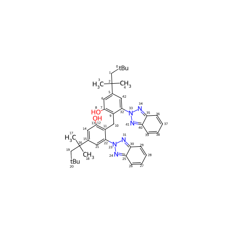 CC(C)(C)CC(C)(C)c1cc(O)c(Cc2c(O)cc(C(C)(C)CC(C)(C)C)cc2-n2nc3ccccc3n2)c(-n2nc3ccccc3n2)c1